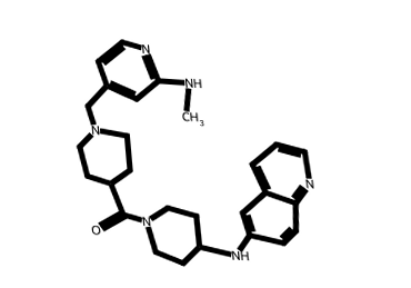 CNc1cc(CN2CCC(C(=O)N3CCC(Nc4ccc5ncccc5c4)CC3)CC2)ccn1